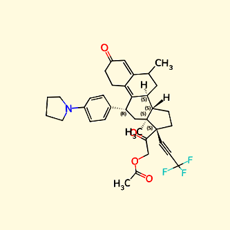 CC(=O)OCC(=O)[C@@]1(C#CC(F)(F)F)CC[C@H]2[C@@H]3CC(C)C4=CC(=O)CCC4=C3[C@@H](c3ccc(N4CCCC4)cc3)C[C@@]21C